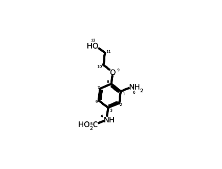 Nc1cc(NC(=O)O)ccc1OCCO